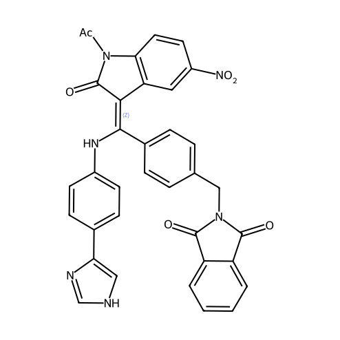 CC(=O)N1C(=O)/C(=C(\Nc2ccc(-c3c[nH]cn3)cc2)c2ccc(CN3C(=O)c4ccccc4C3=O)cc2)c2cc([N+](=O)[O-])ccc21